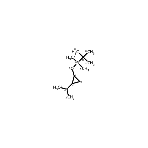 CN(C)C1CC1O[Si](C)(C)C(C)(C)C